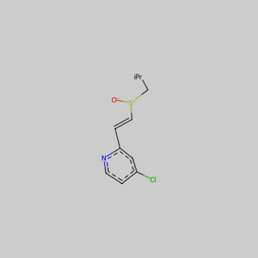 CC(C)C[S+]([O-])C=Cc1cc(Cl)ccn1